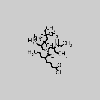 CCCC(CCCC(=O)O)C(=O)N(CC(CC)NCC)CC(CC)C(C)(C)CC(C)(C)CC